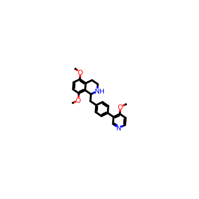 COc1ccncc1-c1ccc(CC2NCCc3c(OC)ccc(OC)c32)cc1